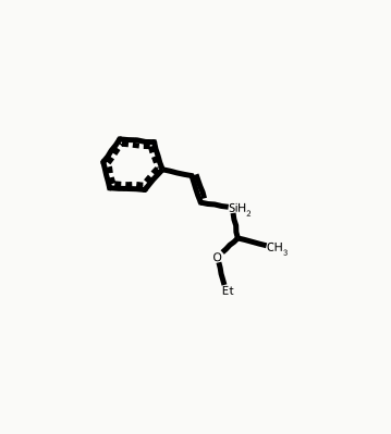 CCOC(C)[SiH2]C=Cc1ccccc1